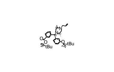 C=CCN1C[C@H](C)N([C@@H](c2cccc(O[Si](C)(C)C(C)(C)C)c2)c2cccc(C(=O)O[Si](C)(C)C(C)(C)C)c2)C[C@H]1C